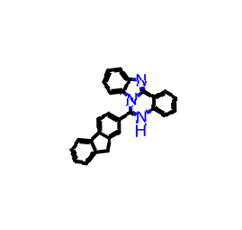 c1ccc2c(c1)Cc1cc(C3Nc4ccccc4-c4nc5ccccc5n43)ccc1-2